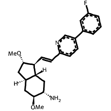 CO[C@H]1C[C@@H]2C[C@H](OC)[C@@H](N)C[C@H]2[C@@H]1C=Cc1ccc(-c2cccc(F)c2)cn1